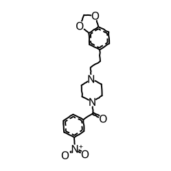 O=C(c1cccc([N+](=O)[O-])c1)N1CCN(CCc2ccc3c(c2)OCO3)CC1